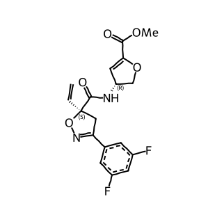 C=C[C@]1(C(=O)N[C@@H]2C=C(C(=O)OC)OC2)CC(c2cc(F)cc(F)c2)=NO1